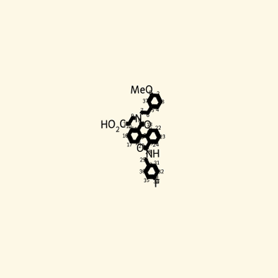 COc1cccc(CCN(CCC(=O)O)C(=O)c2ccccc2-c2ccccc2C(=O)NCc2ccc(F)cc2)c1